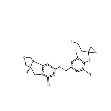 O=c1nc(OCc2cc(F)c(OC3(CCF)CC3)c(F)c2)cc2n1C[C@H]1COCN21